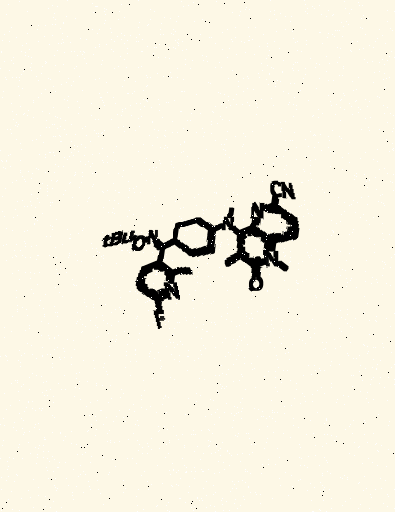 Cc1nc(F)ccc1/C(=N\OC(C)(C)C)C1CCC(N(C)c2c(C)c(=O)n(C)c3ccc(C#N)nc23)CC1